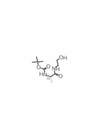 C[C@H](NC(=O)OC(C)(C)C)C(=O)NCCO